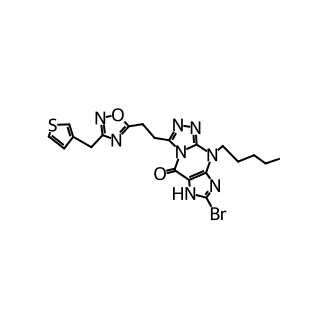 CCCCCn1c2nc(Br)[nH]c2c(=O)n2c(CCc3nc(Cc4ccsc4)no3)nnc12